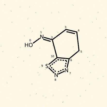 O/N=C1/C=CCc2nnsc21